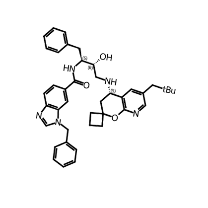 CC(C)(C)Cc1cnc2c(c1)[C@@H](NC[C@@H](O)[C@H](Cc1ccccc1)NC(=O)c1ccc3ncn(Cc4ccccc4)c3c1)CC1(CCC1)O2